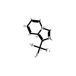 FC(F)(F)c1ncn2ccccc12